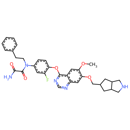 COc1cc2c(Oc3ccc(N(CCc4ccccc4)C(=O)C(N)=O)cc3F)ncnc2cc1OCC1CC2CNCC2C1